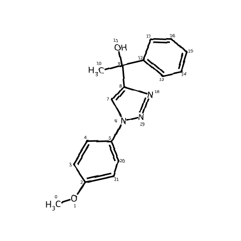 COc1ccc(-n2cc(C(C)(O)c3ccccc3)nn2)cc1